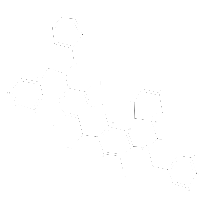 CCCCCCC(c1cc(C)c(N(Cc2ccccc2)Cc2ccccc2)cc1C)c1cc(C)c(N(Cc2ccccc2)Cc2ccccc2)cc1C